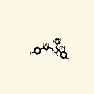 C[C@@H](OCc1cc(-c2ccc(F)cc2)no1)[C@](O)(Cn1cncn1)c1ccc(F)cc1F